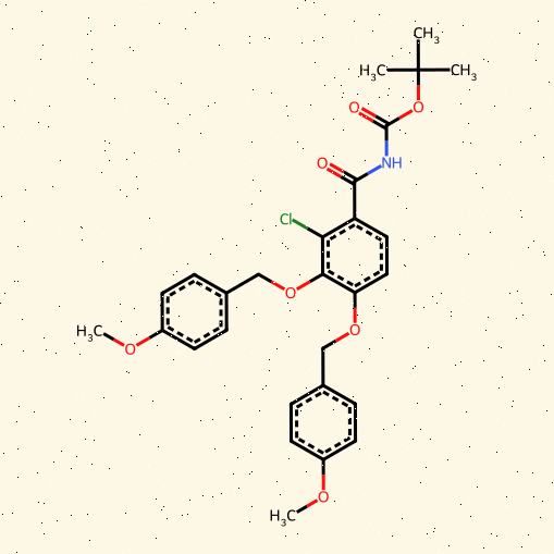 COc1ccc(COc2ccc(C(=O)NC(=O)OC(C)(C)C)c(Cl)c2OCc2ccc(OC)cc2)cc1